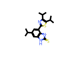 CC(C)c1cc2c(c(-c3nc(C(C)C)c(C(C)C)s3)c1)[N]C(=S)N2